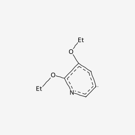 CCOc1c[c]cnc1OCC